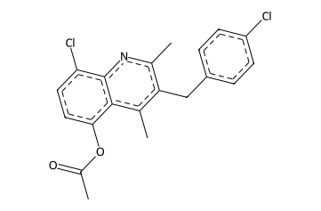 CC(=O)Oc1ccc(Cl)c2nc(C)c(Cc3ccc(Cl)cc3)c(C)c12